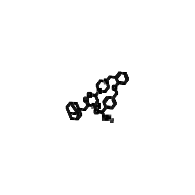 NC(=O)c1ccc(COc2ccccc2CN2CCN(C(=O)CNC(=O)CC34CC5CC(CC(C5)C3)C4)CC2)cc1